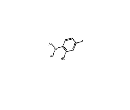 CC(=O)[As](C(C)=O)c1c[c]c(F)cc1C#N